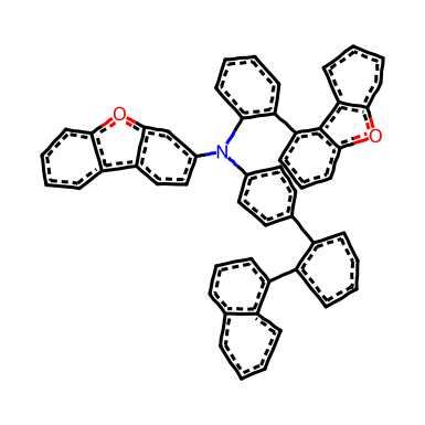 c1ccc(-c2cccc3ccccc23)c(-c2ccc(N(c3ccc4c(c3)oc3ccccc34)c3ccccc3-c3cccc4oc5ccccc5c34)cc2)c1